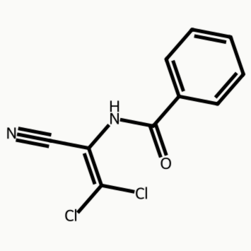 N#CC(NC(=O)c1ccccc1)=C(Cl)Cl